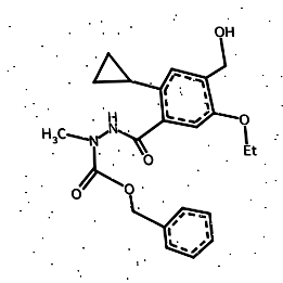 CCOc1cc(C(=O)NN(C)C(=O)OCc2ccccc2)c(C2CC2)cc1CO